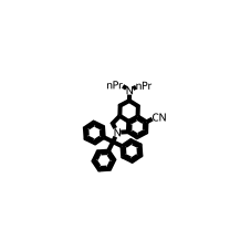 CCCN(CCC)C1Cc2c(C#N)ccc3c2C(C1)CN3C(c1ccccc1)(c1ccccc1)c1ccccc1